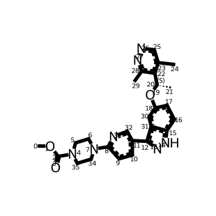 COC(=O)N1CCN(c2ccc(-c3n[nH]c4ccc(O[C@@H](C)c5c(C)cnnc5C)cc34)cn2)CC1